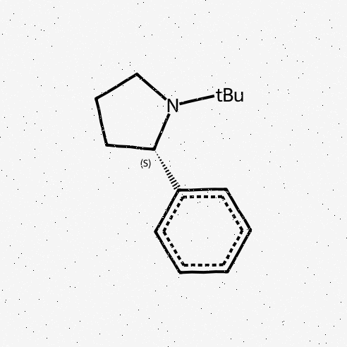 CC(C)(C)N1CCC[C@H]1c1ccccc1